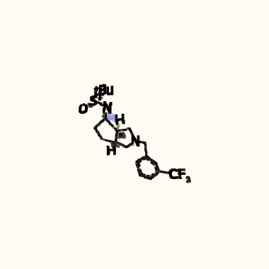 CC(C)(C)[S+]([O-])/N=C1\CC[C@@H]2CN(Cc3cccc(C(F)(F)F)c3)C[C@H]12